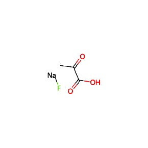 CC(=O)C(=O)O.[F][Na]